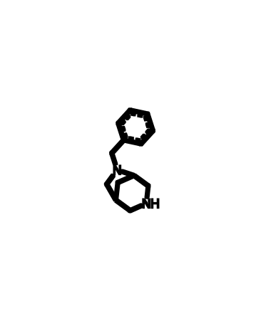 c1ccc(CN2CC3CNCC2C3)cc1